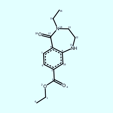 CCOC(=O)c1ccc2c(c1)NCCN(CC)C2=O